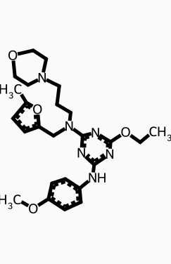 CCOc1nc(Nc2ccc(OC)cc2)nc(N(CCCN2CCOCC2)Cc2ccc(C)o2)n1